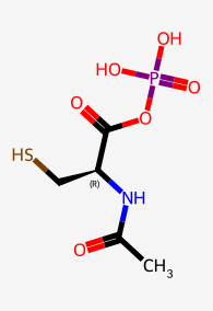 CC(=O)N[C@@H](CS)C(=O)OP(=O)(O)O